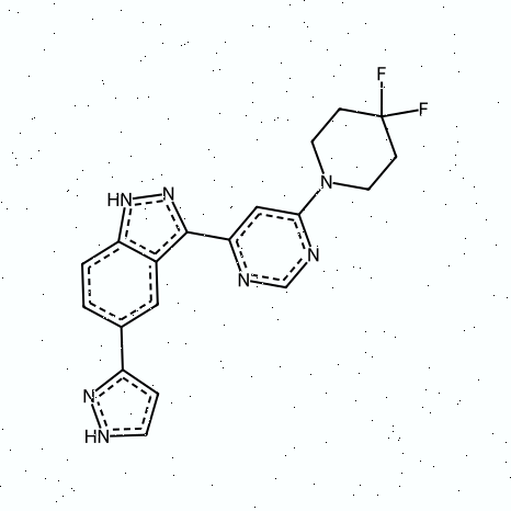 FC1(F)CCN(c2cc(-c3n[nH]c4ccc(-c5cc[nH]n5)cc34)ncn2)CC1